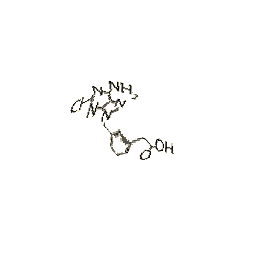 Nc1nc(Cl)nc2c1ncn2Cc1cccc(CC(=O)O)c1